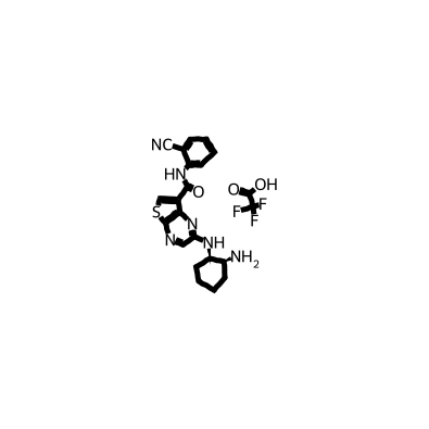 N#Cc1ccccc1NC(=O)c1csc2ncc(N[C@@H]3CCCC[C@@H]3N)nc12.O=C(O)C(F)(F)F